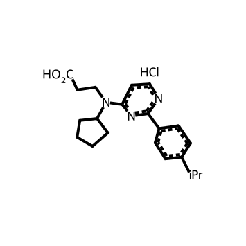 CC(C)c1ccc(-c2nccc(N(CCC(=O)O)C3CCCC3)n2)cc1.Cl